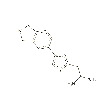 CC(N)Cc1nc(-c2ccc3c(c2)CNC3)cs1